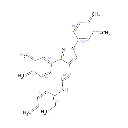 C=C/C=C\C(=C/C)N/N=C/c1cn(C(/C=C\C=C)=C/C=C)nc1C(/C=C\C=C)=C/C=C